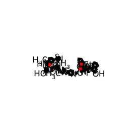 CCc1cccc2cc(O)cc(-c3ncc4c(N5CC6CCC(C5)N6C(=O)OC(C)(C)C)nc(OCCN5CCC(F)(CN6CCN(c7cc([C@@H](C(=O)N8C[C@H](O)C[C@H]8C(=O)N[C@@H](C)c8ccc(-c9scnc9C)cc8)C(C)C)on7)[C@@H](C)C6)CC5)nc4c3F)c12